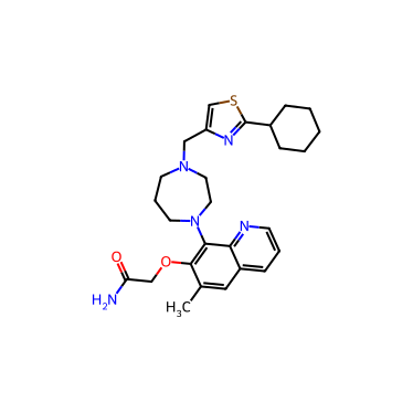 Cc1cc2cccnc2c(N2CCCN(Cc3csc(C4CCCCC4)n3)CC2)c1OCC(N)=O